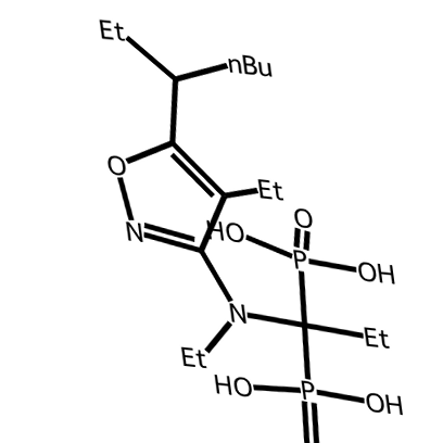 CCCCC(CC)c1onc(N(CC)C(CC)(P(=O)(O)O)P(=O)(O)O)c1CC